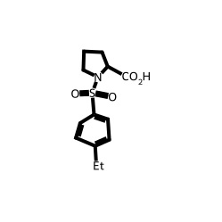 CCc1ccc(S(=O)(=O)N2CCCC2C(=O)O)cc1